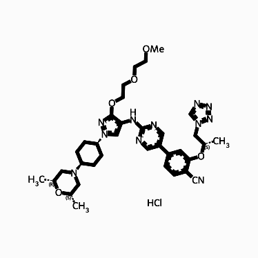 COCCOCCOc1nn([C@H]2CC[C@H](N3C[C@@H](C)O[C@@H](C)C3)CC2)cc1Nc1ncc(-c2ccc(C#N)c(O[C@@H](C)Cn3cnnn3)c2)cn1.Cl